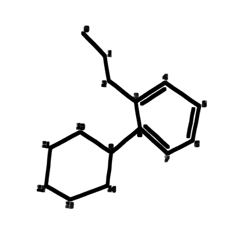 CCCc1ccccc1C1CCCCC1